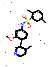 COc1cc(NS(=O)(=O)c2cc(C)ccc2C)ccc1-c1cnccc1C